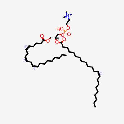 CCCCCCCC/C=C\C/C=C\C/C=C\CCCC(=O)OC[C@H](COP(=O)(O)OCC[N+](C)(C)C)OC(=O)CCCCCCCCCCC/C=C\CCCCCCCC